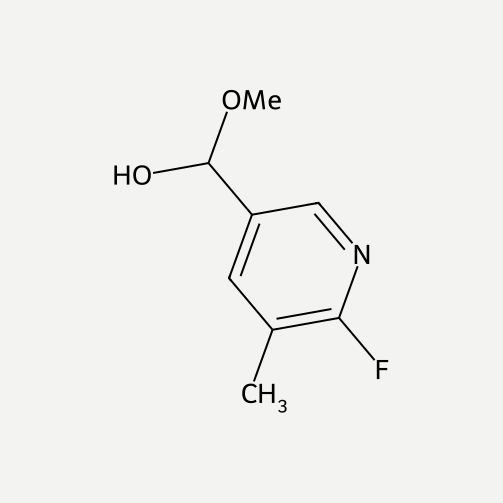 COC(O)c1cnc(F)c(C)c1